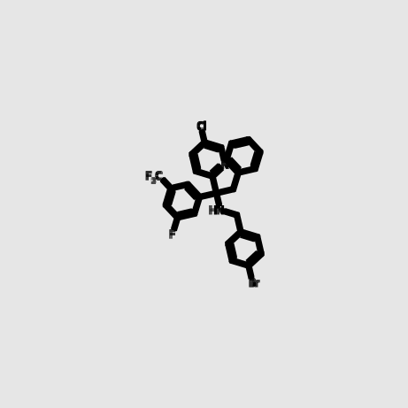 Fc1cc(C(F)(F)F)cc(C(Cc2ccccc2)(NCc2ccc(Br)cc2)c2ccc(Cl)cn2)c1